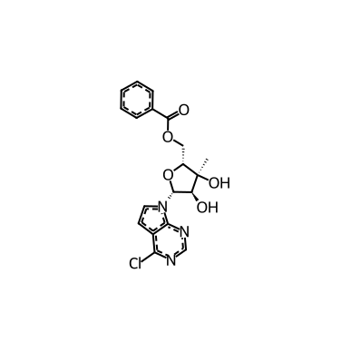 C[C@@]1(O)[C@@H](COC(=O)c2ccccc2)O[C@@H](n2ccc3c(Cl)ncnc32)[C@@H]1O